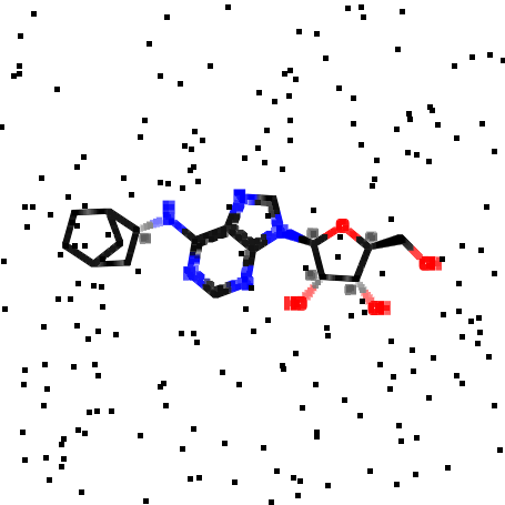 OC[C@@H]1O[C@H](n2cnc3c(N[C@@H]4CC5CCC4C5)ncnc32)[C@@H](O)[C@H]1O